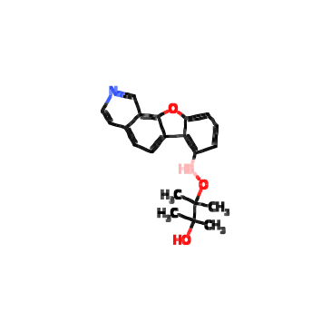 CC(C)(O)C(C)(C)OBc1cccc2oc3c4cnccc4ccc3c12